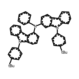 CC(C)(C)c1ccc(-n2c3ccccc3c3ccc(N(c4ccccc4)c4cccc5c4c4ccccc4n5-c4ccc(C(C)(C)C)cc4)cc32)cc1